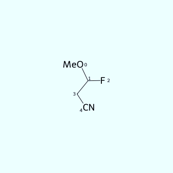 COC(F)CC#N